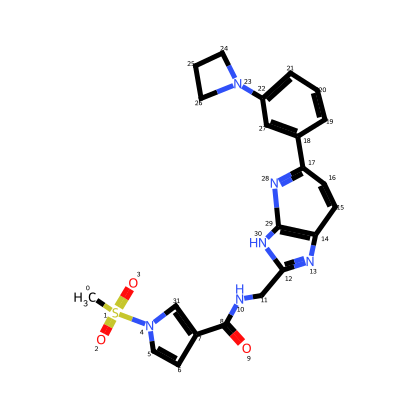 CS(=O)(=O)n1ccc(C(=O)NCc2nc3ccc(-c4cccc(N5CCC5)c4)nc3[nH]2)c1